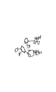 Cl.O=c1[nH]nc(-c2cccnc2OC[C@@H]2CNCCO[C@H]2c2ccc(Cl)c(F)c2)o1